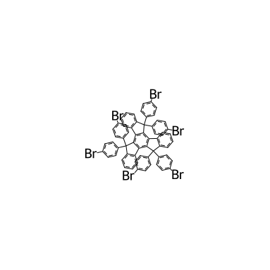 Brc1ccc(C2(c3ccc(Br)cc3)c3ccccc3-c3c2c2c(c4c3C(c3ccc(Br)cc3)(c3ccc(Br)cc3)c3ccccc3-4)C(c3ccc(Br)cc3)(c3ccc(Br)cc3)c3ccccc3-2)cc1